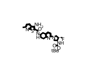 Cc1ccc2c(N)c(C(=O)N[C@H]3CCc4nc(N5C[C@H](CF)[C@H](NC(=O)OC(C)(C)C)C5)ccc4C3)sc2n1